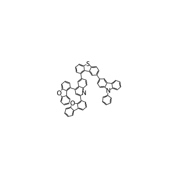 c1ccc(-n2c3ccccc3c3cc(-c4ccc5sc6cccc(-c7ccc8nc(-c9cccc%10c9oc9ccccc9%10)cc(-c9cccc%10oc%11ccccc%11c9%10)c8c7)c6c5c4)ccc32)cc1